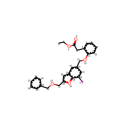 CCOC(=O)Cc1ccccc1OCc1cc(I)c2oc(COCc3ccccc3)cc2c1